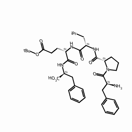 CC(C)C[C@H](NC(=O)[C@@H]1CCCN1C(=O)[C@@H](N)Cc1ccccc1)C(=O)N[C@@H](CCC(=O)OC(C)(C)C)C(=O)N[C@@H](Cc1ccccc1)C(=O)O